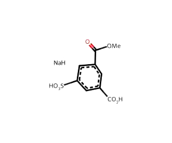 COC(=O)c1cc(C(=O)O)cc(S(=O)(=O)O)c1.[NaH]